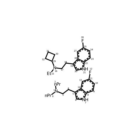 CCCN(CCC)CCc1c[nH]c2ccc(F)cc12.CCN(CCc1c[nH]c2ccc(F)cc12)C1CCC1